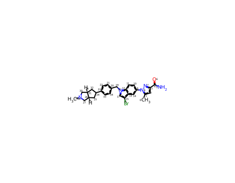 Cc1cc(C(N)=O)nn1-c1ccc2c(c1)c(Br)cn2Cc1ccc(C2C[C@@H]3CN(C)C[C@@H]3C2)cc1